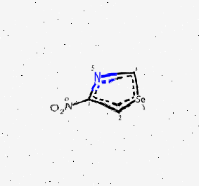 O=[N+]([O-])c1c[se]cn1